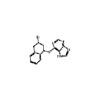 BrC1Cc2ccccc2C(Sc2ncnc3nc[nH]c23)C1